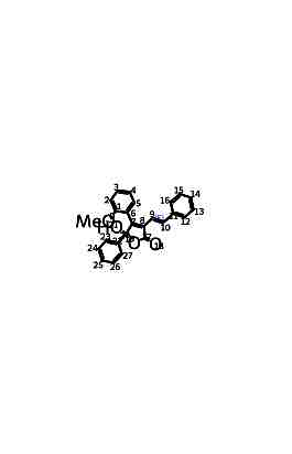 COc1ccccc1C1=C(/C=C/c2ccccc2)C(=O)OC1(O)c1ccccc1